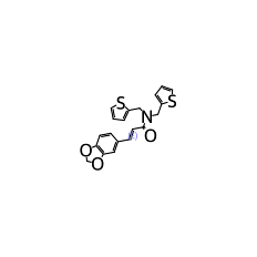 O=C(/C=C/c1ccc2c(c1)OCO2)N(Cc1cccs1)Cc1cccs1